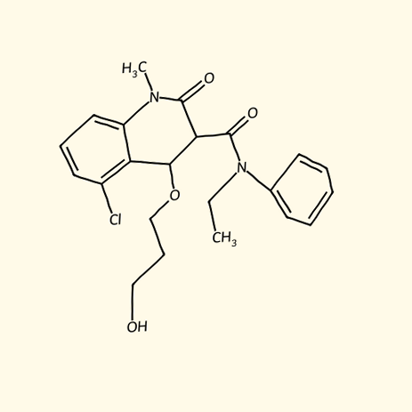 CCN(C(=O)C1C(=O)N(C)c2cccc(Cl)c2C1OCCCO)c1ccccc1